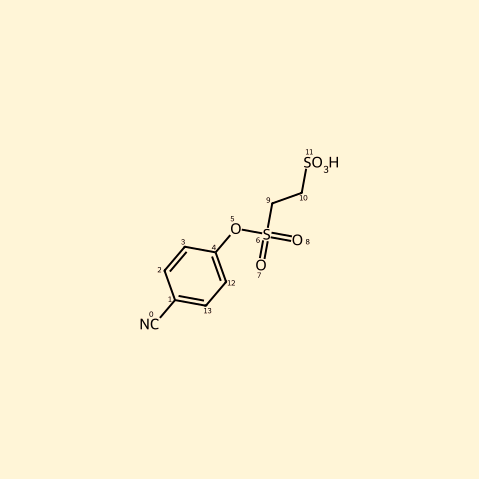 N#Cc1ccc(OS(=O)(=O)CCS(=O)(=O)O)cc1